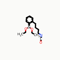 CCO[SiH](OCC)c1ccccc1CCCCN=C=O